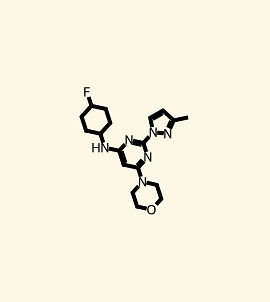 Cc1ccn(-c2nc(NC3CCC(F)CC3)cc(N3CCOCC3)n2)n1